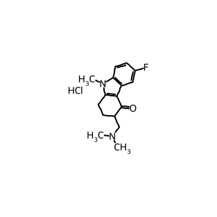 CN(C)CC1CCc2c(c3cc(F)ccc3n2C)C1=O.Cl